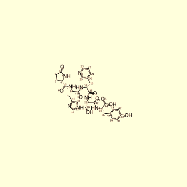 O=C1CC[C@@H](C(=O)N[C@@H](Cc2c[nH]cn2)C(=O)N[C@H](Cc2cccnc2)C(=O)N[C@@H](CO)C(=O)N[C@@H](Cc2ccc(O)cc2)C(=O)O)N1